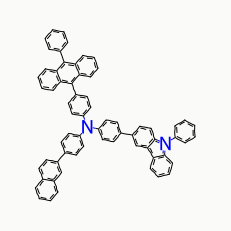 c1ccc(-c2c3ccccc3c(-c3ccc(N(c4ccc(-c5ccc6ccccc6c5)cc4)c4ccc(-c5ccc6c(c5)c5ccccc5n6-c5ccccc5)cc4)cc3)c3ccccc23)cc1